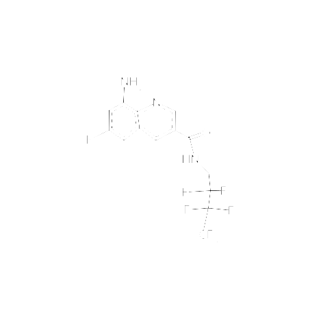 Nc1cc(F)cc2cc(C(=O)NCC(F)(F)C(F)(F)C(F)(F)F)cnc12